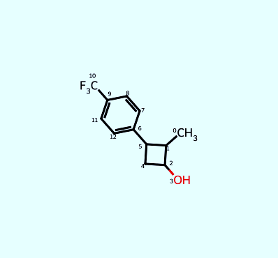 CC1C(O)CC1c1ccc(C(F)(F)F)cc1